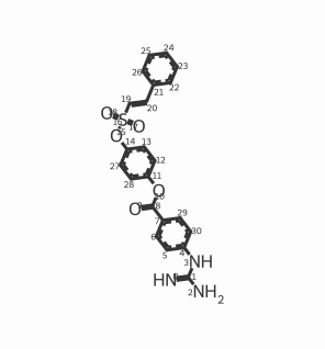 N=C(N)Nc1ccc(C(=O)Oc2ccc(OS(=O)(=O)C=Cc3ccccc3)cc2)cc1